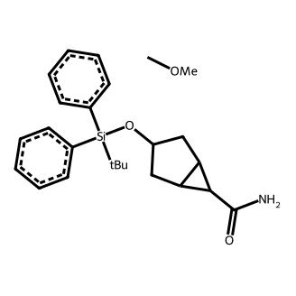 CC(C)(C)[Si](OC1CC2C(C1)C2C(N)=O)(c1ccccc1)c1ccccc1.COC